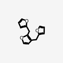 c1coc(Cc2ccoc2Cc2ccco2)c1